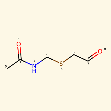 CC(=O)NCSC[C]=O